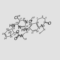 CCN1C(=O)CCCc2c1ccc(Nc1ncc(Cl)c(NC3C4C=CC(C4)C3OC(=O)N(C)C)n1)c2OC